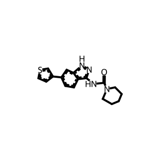 O=C(Nc1n[nH]c2cc(-c3ccsc3)ccc12)N1CCCCC1